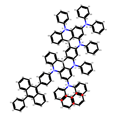 c1ccc(-c2ccccc2N(c2cc3c4c(c2)N(c2ccccc2)c2cc5c(cc2B4c2ccccc2N3c2ccc(-c3c4ccccc4c(-c4ccccc4)c4ccccc34)cc2)B2c3ccccc3N(c3ccccc3)c3cc(N(c4ccccc4)c4ccccc4)cc(c32)N5c2ccccc2)c2ccccc2-c2ccccc2)cc1